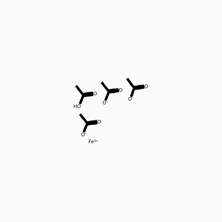 CC(=O)O.CC(=O)[O-].CC(=O)[O-].CC(=O)[O-].[Fe+3]